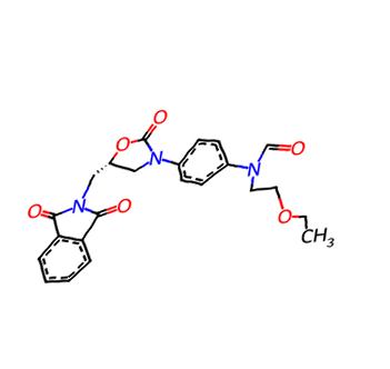 CCOCCN(C=O)c1ccc(N2C[C@H](CN3C(=O)c4ccccc4C3=O)OC2=O)cc1